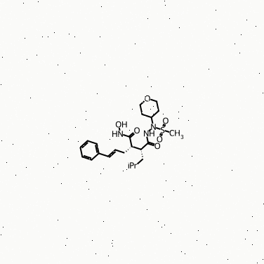 CC(C)C[C@@H](C(=O)NN(C1CCOCC1)S(C)(=O)=O)[C@H](CC=Cc1ccccc1)C(=O)NO